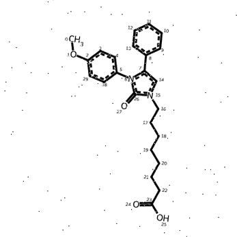 COc1ccc(-n2c(-c3ccccc3)cn(CCCCCCCC(=O)O)c2=O)cc1